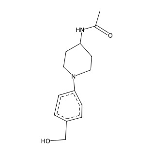 CC(=O)NC1CCN(c2ccc(CO)cc2)CC1